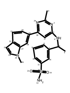 Cc1nc(NC(C)c2cccc(S(N)(=O)=O)c2)cc(-c2ccc3ccn(C)c3c2)n1